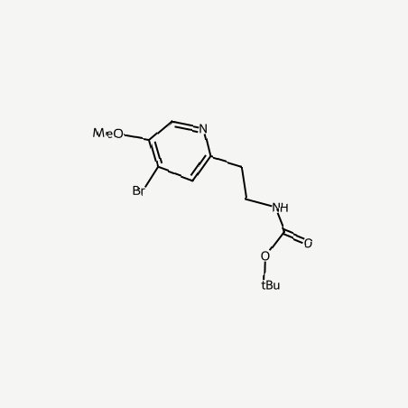 COc1cnc(CCNC(=O)OC(C)(C)C)cc1Br